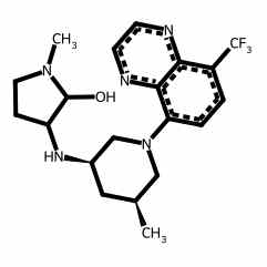 C[C@H]1C[C@@H](NC2CCN(C)C2O)CN(c2ccc(C(F)(F)F)c3nccnc23)C1